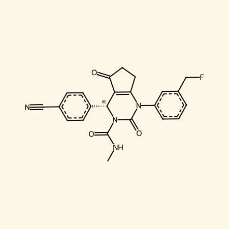 CNC(=O)N1C(=O)N(c2cccc(CF)c2)C2=C(C(=O)CC2)[C@H]1c1ccc(C#N)cc1